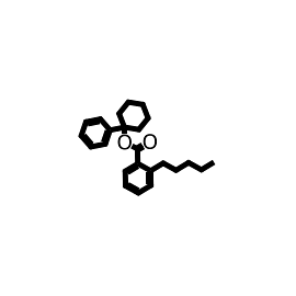 CCCCCc1ccccc1C(=O)OC1(c2ccccc2)CCCCC1